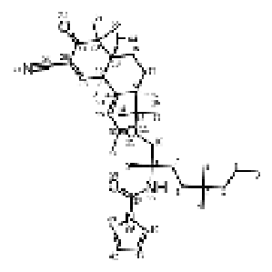 CCCC(C)(C)CC[C@@](C)(CCC(C)(C)[C@]1(C)CC[C@H]2C(C)(C)C(=O)C(C#N)=C[C@]2(C)/C1=C/C(C)=O)NC(=O)n1cccn1